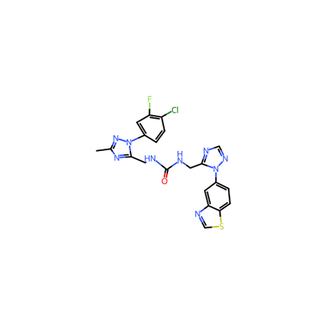 Cc1nc(CNC(=O)NCc2ncnn2-c2ccc3scnc3c2)n(-c2ccc(Cl)c(F)c2)n1